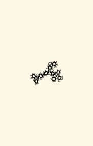 c1ccc([Si](c2ccccc2)(c2ccccc2)c2ccc(N(c3ccc(-c4ccc(-n5c6ccccc6c6ccccc65)cc4)cc3)c3ccc4oc5ccccc5c4c3)cc2)cc1